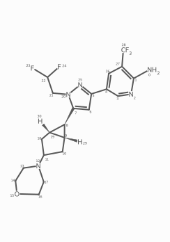 Nc1ncc(-c2cc([C@H]3[C@@H]4CC(N5CCOCC5)C[C@@H]43)n(CC(F)F)n2)cc1C(F)(F)F